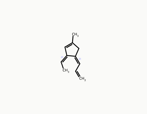 C=C/C=C1/CC(C)=C/C1=C/C